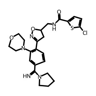 N=C(c1ccc(C2=NOC(CNC(=O)c3ccc(Cl)s3)C2)c(N2CCOCC2)c1)N1CCCC1